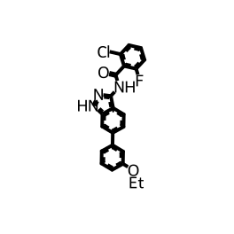 CCOc1cccc(-c2ccc3c(NC(=O)c4c(F)cccc4Cl)n[nH]c3c2)c1